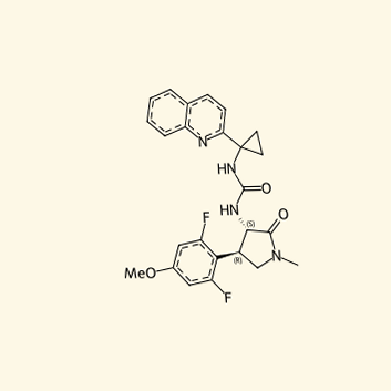 COc1cc(F)c([C@@H]2CN(C)C(=O)[C@H]2NC(=O)NC2(c3ccc4ccccc4n3)CC2)c(F)c1